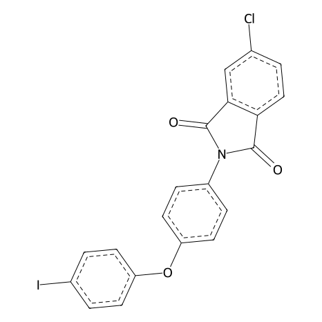 O=C1c2ccc(Cl)cc2C(=O)N1c1ccc(Oc2ccc(I)cc2)cc1